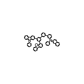 c1ccc(N(c2cccc(-c3cccc(-c4cc(-c5ccc6c7ccccc7n(-c7ccccc7)c6c5)cc(-c5cccc6c5oc5ccccc56)c4)c3)c2)c2ccc3ccccc3c2)cc1